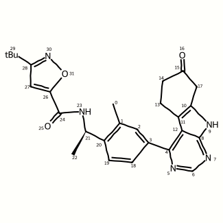 Cc1cc(-c2ncnc3[nH]c4c(c23)CCC(=O)C4)ccc1[C@@H](C)NC(=O)c1cc(C(C)(C)C)no1